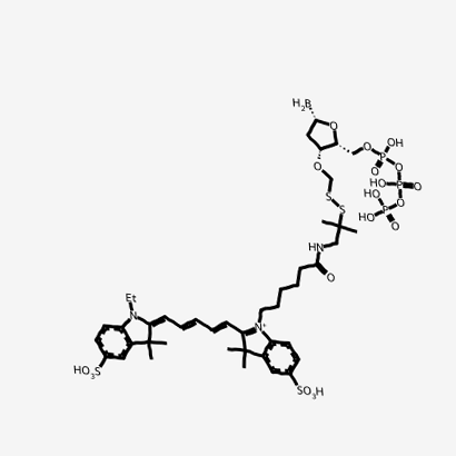 B[C@H]1C[C@@H](OCSSC(C)(C)CNC(=O)CCCCC[N+]2=C(/C=C/C=C/C=C3/N(CC)c4ccc(S(=O)(=O)O)cc4C3(C)C)C(C)(C)c3cc(S(=O)(=O)O)ccc32)[C@@H](COP(=O)(O)OP(=O)(O)OP(=O)(O)O)O1